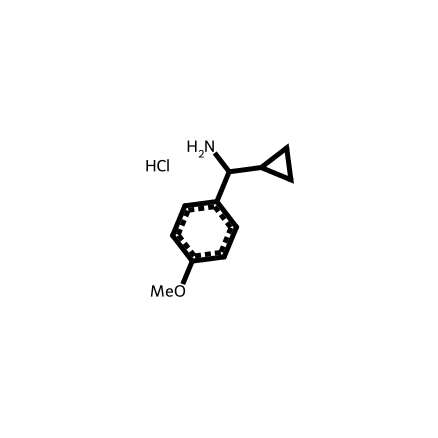 COc1ccc(C(N)C2CC2)cc1.Cl